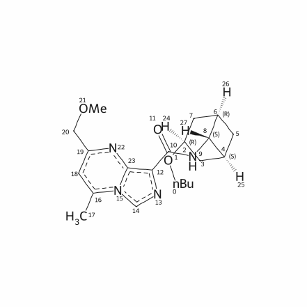 CCCCO[C@@H]1C[C@@H]2C[C@H](C1)[C@H]2NC(=O)c1ncn2c(C)cc(COC)nc12